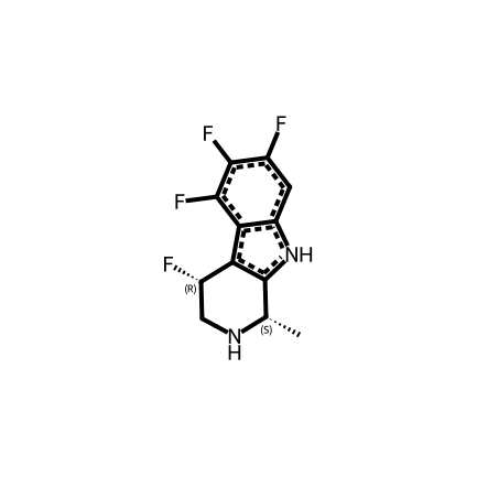 C[C@@H]1NC[C@H](F)c2c1[nH]c1cc(F)c(F)c(F)c21